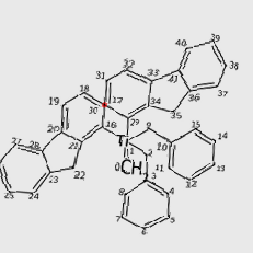 [CH2]=[Ti]([CH2]c1ccccc1)([CH2]c1ccccc1)([c]1cccc2c1Cc1ccccc1-2)[c]1cccc2c1Cc1ccccc1-2